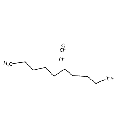 CCCCCCCC[CH2][Ti+3].[Cl-].[Cl-].[Cl-]